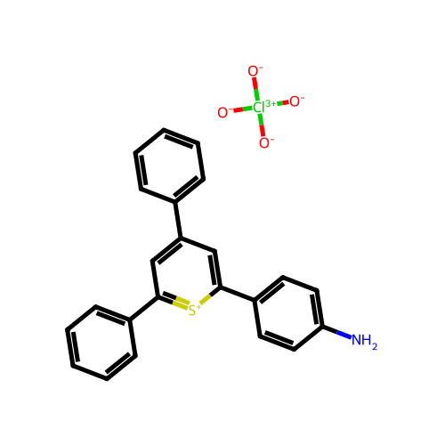 Nc1ccc(-c2cc(-c3ccccc3)cc(-c3ccccc3)[s+]2)cc1.[O-][Cl+3]([O-])([O-])[O-]